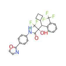 O=C(Nc1ccc(-c2ncco2)cc1)C(O)(C(c1ccccc1C(F)(F)F)C1CCC1)C(F)(F)F